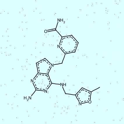 Cc1cc(CNc2nc(N)nc3ccn(Cc4cccc(C(N)=O)n4)c23)no1